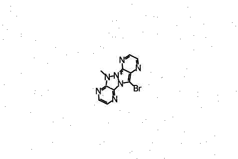 Cn1c2nccnc2n2c(Br)c3nccnc3[n+]12